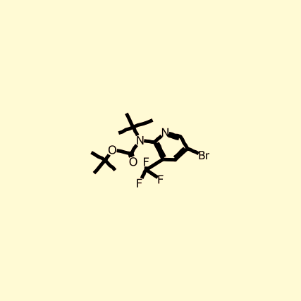 CC(C)(C)OC(=O)N(c1ncc(Br)cc1C(F)(F)F)C(C)(C)C